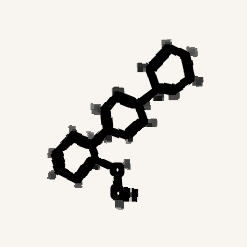 OOc1ccccc1-c1ccc(-c2ccccc2)cc1